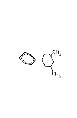 C[C@H]1CC(c2ccccc2)CN(C)C1